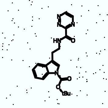 CC(C)(C)OC(=O)n1cc(CCNC(=O)c2nccnn2)c2ccccc21